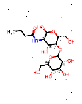 CCCC(=O)N[C@H]1C(O)O[C@H](CO)[C@@H](OC2O[C@H](CO)[C@@H](O)[C@H](O)[C@H]2O)[C@@H]1O